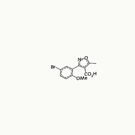 COc1ccc(Br)cc1-c1noc(C)c1C(=O)O